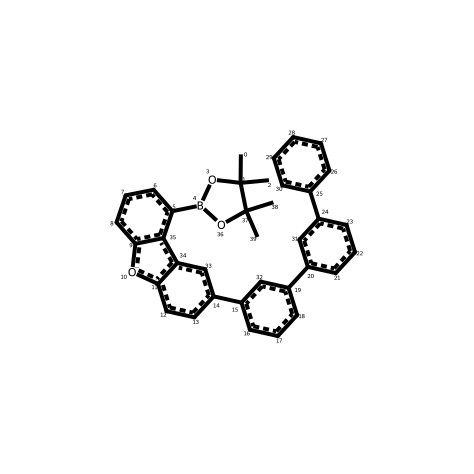 CC1(C)OB(c2cccc3oc4ccc(-c5cccc(-c6cccc(-c7ccccc7)c6)c5)cc4c23)OC1(C)C